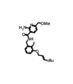 CCCC/C=C/COc1cccc(CNC(=O)c2ccc(COC)nc2N)c1F